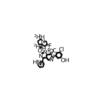 [2H]C1([2H])CC[C@@]2(C([2H])([2H])Oc3nc(N4CC5CCC4CN5)c4cnn(-c5cc(O)cc(Cl)c5C(F)(F)F)c(=O)c4n3)C[C@@H](F)CN12